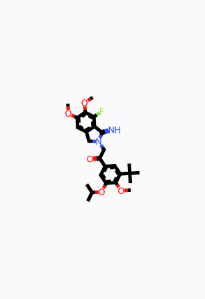 COc1cc2c(c(F)c1OC)C(=N)N(CC(=O)c1cc(OC(C)C)c(OC)c(C(C)(C)C)c1)C2